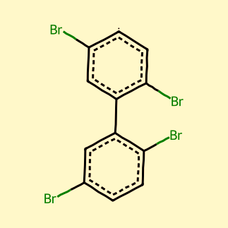 Brc1[c]cc(Br)c(-c2cc(Br)ccc2Br)c1